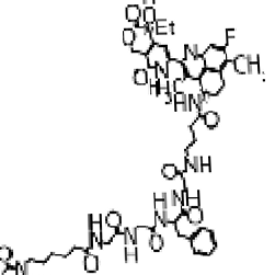 CCC(C)C(=O)N(O)CCCCCC(=O)NCC(=O)NCC(=O)NC(Cc1ccccc1)C(=O)NCC(=O)NCCCC(=O)N[C@H]1CCc2c(C)c(F)cc3nc(-c4cc5c(c(=O)[nH]4)COC(=O)[C@]5(O)CC)c(C)c1c23